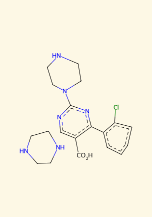 C1CNCCN1.O=C(O)c1cnc(N2CCNCC2)nc1-c1ccccc1Cl